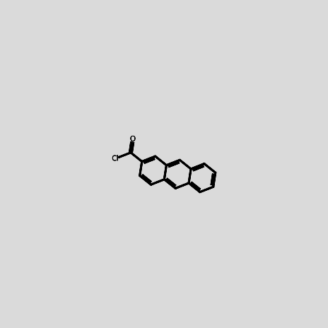 O=C(Cl)c1ccc2cc3ccccc3cc2c1